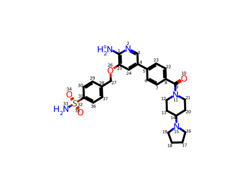 Nc1ncc(-c2ccc(C(=O)N3CCC(N4CCCC4)CC3)cc2)cc1OCc1ccc(S(N)(=O)=O)cc1